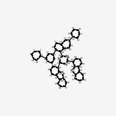 c1ccc(-c2cccc(-c3ccc4cc(-c5ccccc5)ccc4c3-c3nc(-c4cccc5c4sc4ccccc45)nc(-c4cccc5c4sc4ccccc45)n3)c2)cc1